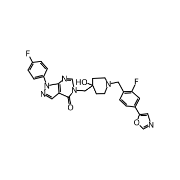 O=c1c2cnn(-c3ccc(F)cc3)c2ncn1CC1(O)CCN(Cc2ccc(-c3cnco3)cc2F)CC1